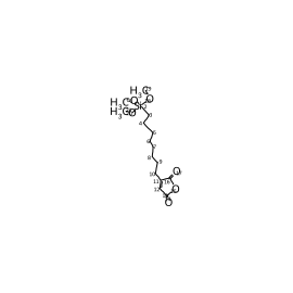 CO[Si](CCCCCCCCC1=CC(=O)OC1=O)(OC)OC